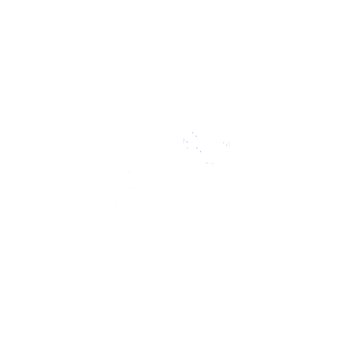 Cl.FC(F)(F)c1cccc(OC2CCC(c3nnc4n3-c3ccc(Cl)cc3CNC4)CC2)c1